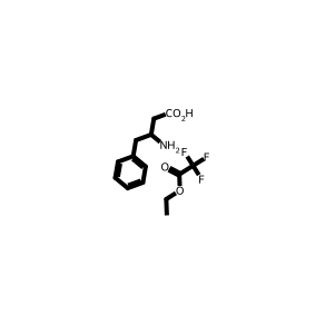 CCOC(=O)C(F)(F)F.NC(CC(=O)O)Cc1ccccc1